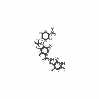 Cc1cc(C)c(CNC(=O)c2cc(Br)c3c(c2C)OC(C)(C[C@H]2CC[C@@H](N(C)C)CC2)O3)c(=O)[nH]1